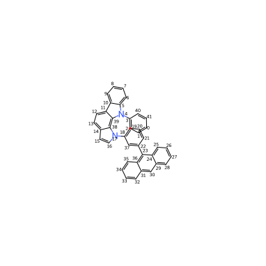 c1ccc(-n2c3ccccc3c3ccc4ccn(-c5cccc(-c6c7ccccc7cc7ccccc67)c5)c4c32)cc1